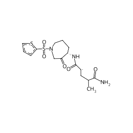 CC(C[CH]C(=O)N[C@H]1CCCN(S(=O)(=O)c2cccs2)CC1=O)C(N)=O